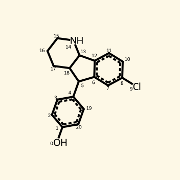 Oc1ccc(C2c3cc(Cl)ccc3C3NCCCC32)cc1